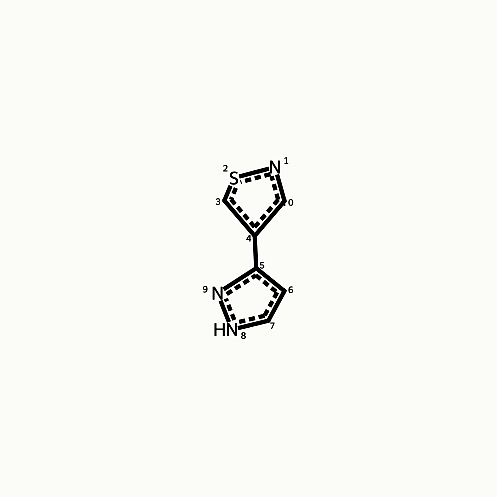 [c]1nscc1-c1cc[nH]n1